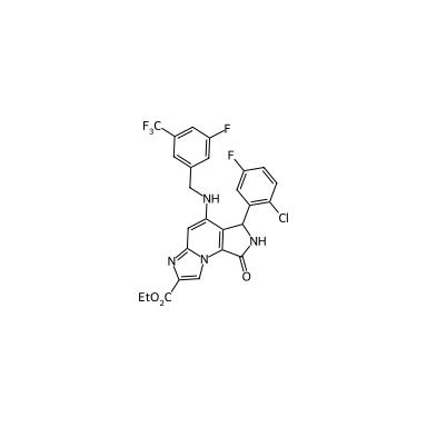 CCOC(=O)c1cn2c3c(c(NCc4cc(F)cc(C(F)(F)F)c4)cc2n1)C(c1cc(F)ccc1Cl)NC3=O